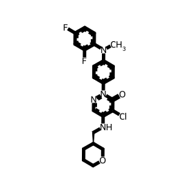 CN(c1ccc(-n2ncc(NC[C@@H]3CCCOC3)c(Cl)c2=O)cc1)c1ccc(F)cc1F